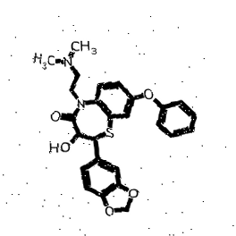 CN(C)CCN1C(=O)C(O)C(c2ccc3c(c2)OCO3)Sc2cc(Oc3ccccc3)ccc21